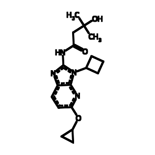 CC(C)(O)CC(=O)Nc1nc2ccc(OC3CC3)nc2n1C1CCC1